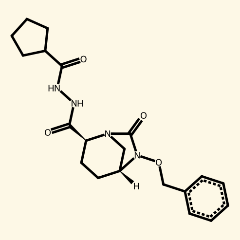 O=C(NNC(=O)[C@@H]1CC[C@@H]2CN1C(=O)N2OCc1ccccc1)C1CCCC1